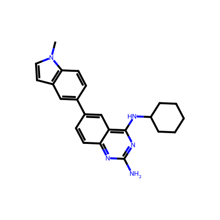 Cn1ccc2cc(-c3ccc4nc(N)nc(NC5CCCCC5)c4c3)ccc21